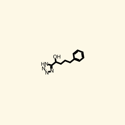 OC(CCCc1ccccc1)c1nnn[nH]1